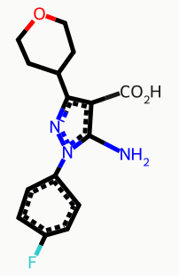 Nc1c(C(=O)O)c(C2CCOCC2)nn1-c1ccc(F)cc1